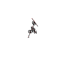 CCCCCCCCC(CCCCCCCC)C(=O)OCCCCCCCN(CCCCCOC(=O)CCCCCCCCC(C)C)CCOC(=O)CCCN(C)C